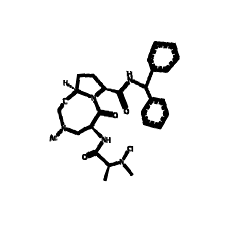 CC(=O)N1CC[C@H]2CC[C@@H](C(=O)NC(c3ccccc3)c3ccccc3)N2C(=O)[C@@H](NC(=O)[C@H](C)N(C)Cl)C1